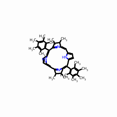 Cc1c(C)c(C)c(-c2c3nc(cc4ccc([nH]4)c(-c4c(C)c(C)c(C)c(C)c4C)c4nc(cc5ccc2[nH]5)C(C)C4C)C(C)C3C)c(C)c1C